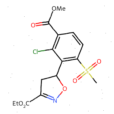 CCOC(=O)C1=NOC(c2c(S(C)(=O)=O)ccc(C(=O)OC)c2Cl)C1